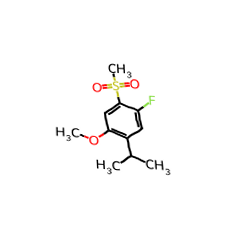 COc1cc(S(C)(=O)=O)c(F)cc1C(C)C